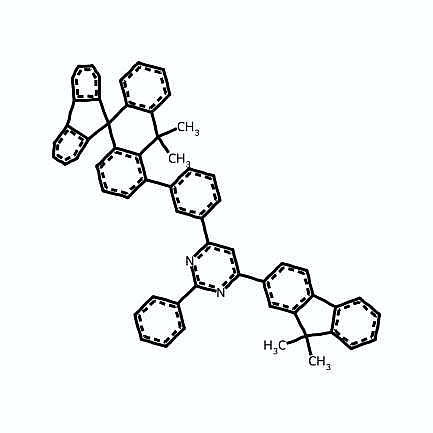 CC1(C)c2ccccc2-c2ccc(-c3cc(-c4cccc(-c5cccc6c5C(C)(C)c5ccccc5C65c6ccccc6-c6ccccc65)c4)nc(-c4ccccc4)n3)cc21